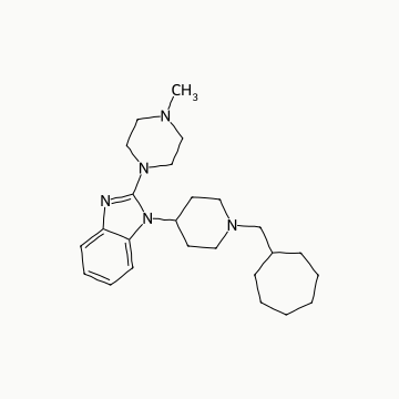 CN1CCN(c2nc3ccccc3n2C2CCN(CC3CCCCCC3)CC2)CC1